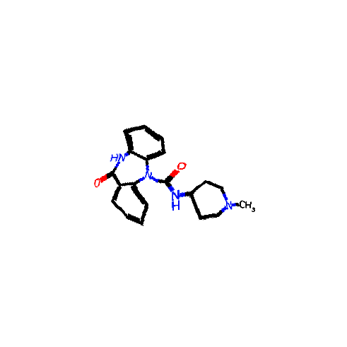 CN1CCC(NC(=O)N2c3ccccc3NC(=O)c3ccccc32)CC1